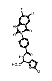 CCc1cc2c(=O)n(-c3ccc(C(=O)NC(C(=O)O)c4ccc(Cl)s4)cc3)c(=O)[nH]c2cc1F